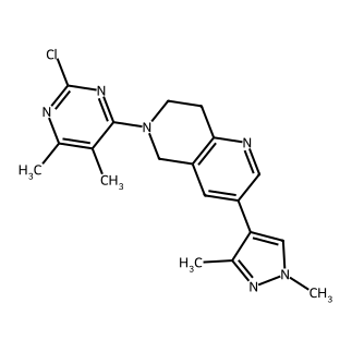 Cc1nn(C)cc1-c1cnc2c(c1)CN(c1nc(Cl)nc(C)c1C)CC2